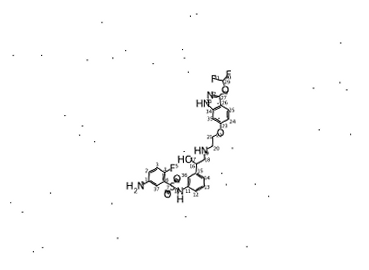 Nc1ccc(F)c(S(=O)(=O)Nc2cccc([C@@H](O)CNCCOc3ccc4c(OC(F)F)n[nH]c4c3)c2)c1